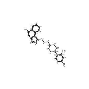 Cc1cc2nnc(SCCN3CCN(c4ccc(F)cc4F)CC3)n2c2ccccc12